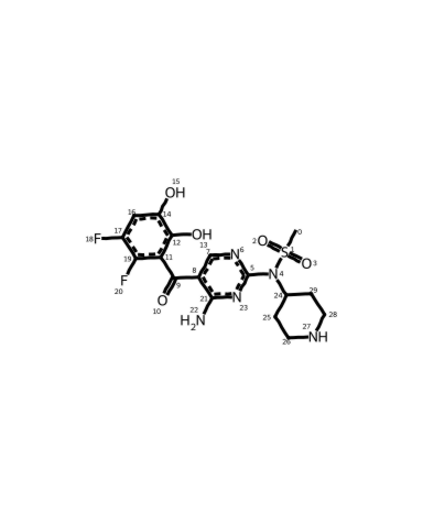 CS(=O)(=O)N(c1ncc(C(=O)c2c(O)c(O)cc(F)c2F)c(N)n1)C1CCNCC1